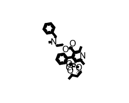 Cc1nc(C)c(P2(=O)OCCC(C)O2)c(-c2ccccc2C(F)(F)F)c1C(=O)OCCN(C)Cc1ccccc1